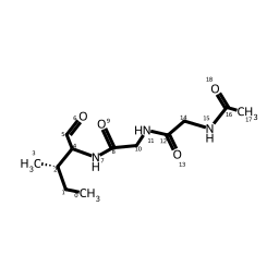 CC[C@H](C)C(C=O)NC(=O)CNC(=O)CNC(C)=O